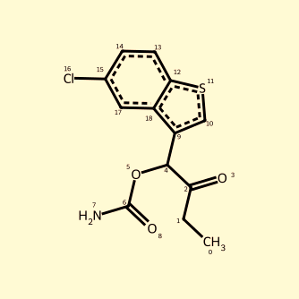 CCC(=O)C(OC(N)=O)c1csc2ccc(Cl)cc12